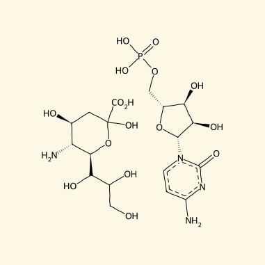 N[C@@H]1[C@@H](O)CC(O)(C(=O)O)O[C@H]1C(O)C(O)CO.Nc1ccn([C@@H]2O[C@H](COP(=O)(O)O)[C@@H](O)[C@H]2O)c(=O)n1